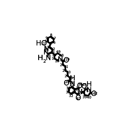 Nc1nnc(-c2ccccc2O)cc1C1CCN(C(=O)CCCCCCC(=O)Nc2cccc3c2C(=O)N(C2CCC(=O)NC2=O)C3=O)CC1